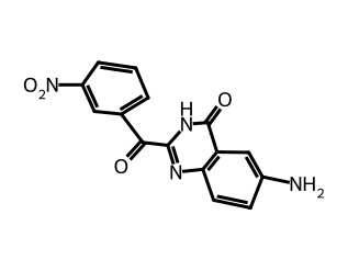 Nc1ccc2nc(C(=O)c3cccc([N+](=O)[O-])c3)[nH]c(=O)c2c1